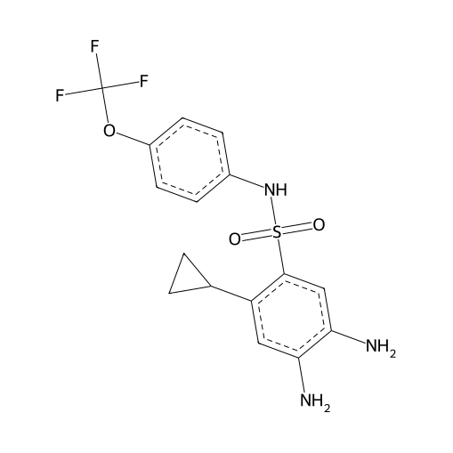 Nc1cc(C2CC2)c(S(=O)(=O)Nc2ccc(OC(F)(F)F)cc2)cc1N